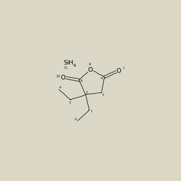 CCC1(CC)CC(=O)OC1=O.[SiH4]